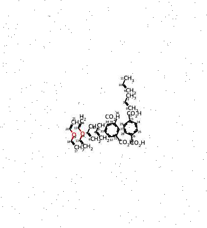 C=CC.C=CC.C=CC.C=CC.C=COC=C.C=COC=C.O=C(O)c1ccc(C(=O)O)cc1.O=C(O)c1cccc(C(=O)O)c1